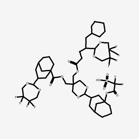 O=C(CCC(CC1CCCCC1)C1OCC(F)(F)C(F)(F)CO1)OCC1(COC(=O)C23CCCC(CC(C4OCC(F)(F)C(F)(F)CO4)C2)C3)COC(C2CC3CCCC(OC(=O)C(F)(F)S(=O)(=O)O)(C3)C2)OC1